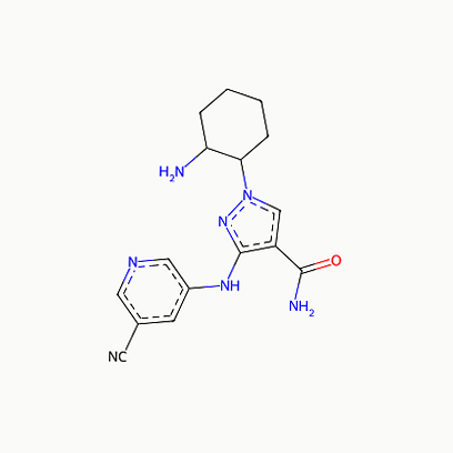 N#Cc1cncc(Nc2nn(C3CCCCC3N)cc2C(N)=O)c1